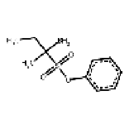 BC(C)(CC)S(=O)(=O)Oc1ccccc1